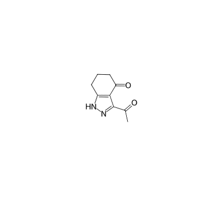 CC(=O)c1n[nH]c2c1C(=O)CCC2